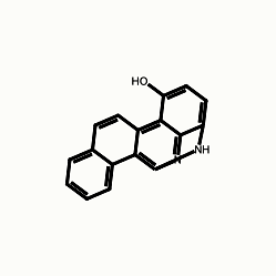 Oc1ccc2[nH]c3nc2c1c1ccc2ccccc2c31